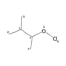 CC(C)C(C)OCl